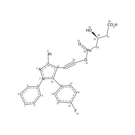 CC(C)c1nn(-c2ccccc2)c(-c2ccc(F)cc2)c1C#CO[PH](=O)C[C@@H](O)CC(=O)O